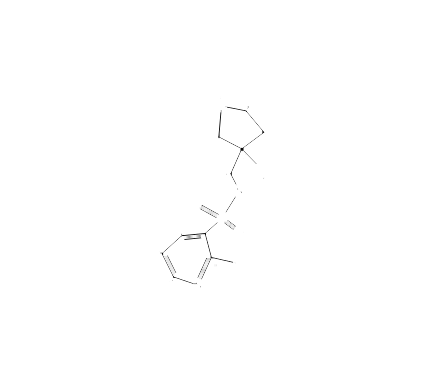 O=S(=O)(NCC1(O)CCOC1)c1cccnc1Cl